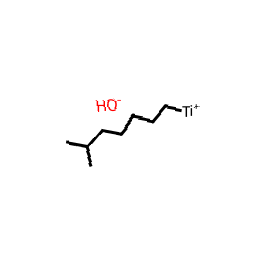 CC(C)CCCC[CH2][Ti+].[OH-]